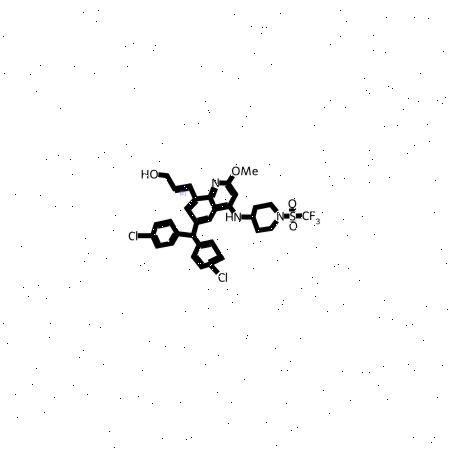 COc1cc(NC2CCN(S(=O)(=O)C(F)(F)F)CC2)c2cc(C(c3ccc(Cl)cc3)c3ccc(Cl)cc3)cc(/C=C/CO)c2n1